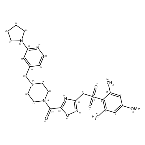 COc1cc(C)c(S(=O)(=O)Cc2noc(C(=O)N3CCN(Cc4ccnc(N5CCCC5)c4)CC3)n2)c(C)c1